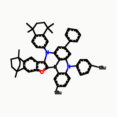 CC(C)(C)c1ccc(N2c3ccc(C(C)(C)C)cc3B3c4oc5cc6c(cc5c4N(c4ccc5c(c4)C(C)(C)CCC5(C)C)c4cc(-c5ccccc5)cc2c43)C2(C)CCC6(C)CC2)cc1